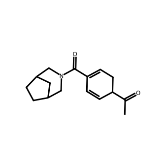 CC(=O)C1C=CC(C(=O)N2CC3CCC(C3)C2)=CC1